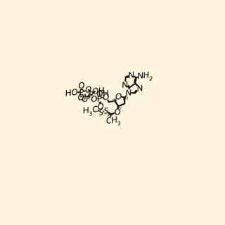 CSS[C@H](C)O[C@@H]1C[C@H](n2cnc3c(N)ncnc32)O[C@@H]1COP(=O)(O)OP(=O)(O)OP(=O)(O)O